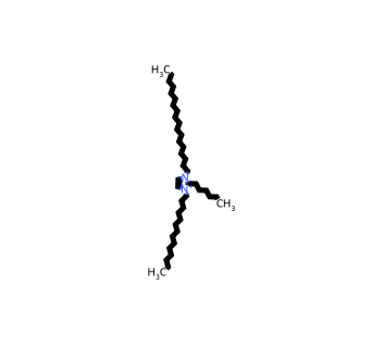 CCCCCCCCCCCCCCCCCCn1cc[n+](CCCCCCCCCCCCCC)c1CCCCCC